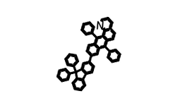 c1ccc(-c2c3cc(-c4ccc5c(c4)C(c4ccccc4)(c4ccccc4)c4ccccc4-5)ccc3c(-c3ccccc3)c3c2ccc2cccnc23)cc1